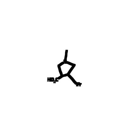 CC(C)C1CN(C)CC1C(=O)O